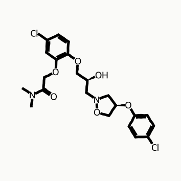 CN(C)C(=O)COc1cc(Cl)ccc1OC[C@@H](O)CN1C[C@@H](Oc2ccc(Cl)cc2)CO1